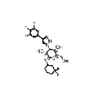 OC[C@H]1O[C@H](SC2CCCC(F)(F)C2)[C@H](O)[C@@H](n2cc(-c3cc(F)c(F)c(F)c3)nn2)[C@H]1O